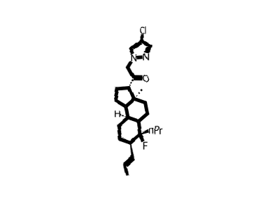 C/C=C/[C@H]1CC[C@H]2C3CC[C@H](C(=O)Cn4cc(Cl)cn4)[C@@]3(C)CCC2[C@@]1(F)CCC